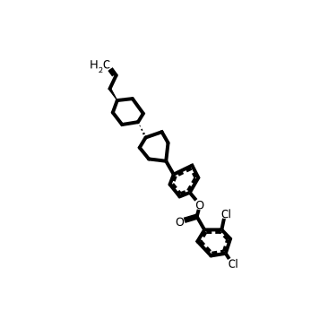 C=CC[C@H]1CC[C@H](C2CCC(c3ccc(OC(=O)c4ccc(Cl)cc4Cl)cc3)CC2)CC1